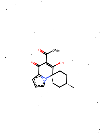 COC(=O)C1=C(O)[C@]2(CC[C@@H](C)CC2)n2cccc2C1=O